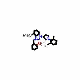 COc1cccc2c1N(Cc1ccccc1OC(F)(F)F)CN2[C@@H]1CCN(c2c(C)cccc2C)C1